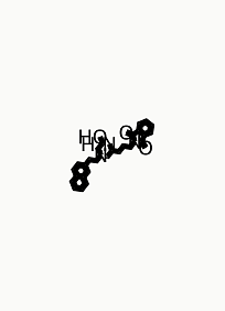 NC(CCCN1C(=O)c2ccccc2C1=O)CN(CCO)CCc1ccc2ccccc2c1